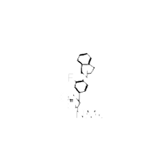 CN[C@@H]1CN(c2ccc(N3CCc4ccccc4C3)c(F)c2)C(=O)O1